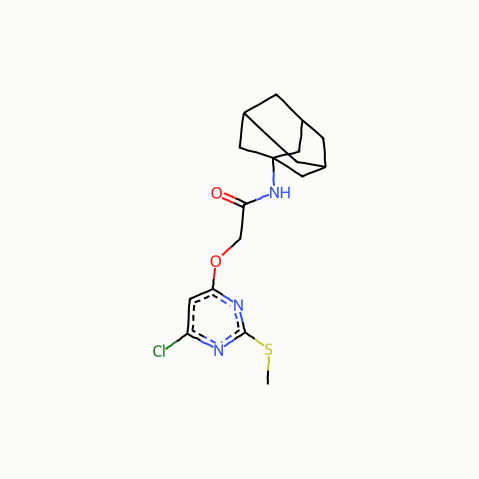 CSc1nc(Cl)cc(OCC(=O)NC23CC4CC(CC(C4)C2)C3)n1